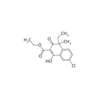 CCOC(=O)C1=C(O)c2cc(Cl)ccc2C(C)(CC)C1=O